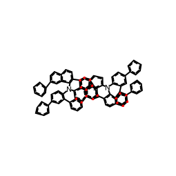 c1ccc(-c2ccc(N(c3c(-c4ccccc4)ccc4ccc(-c5ccccc5)cc34)c3ccc4ccc5c(N(c6ccc(-c7ccccc7)cc6-c6ccccc6)c6c(-c7ccccc7)ccc7ccc(-c8ccccc8)cc67)ccc6ccc3c4c65)c(-c3ccccc3)c2)cc1